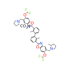 Cc1c(-c2nc3cc(CN4CCCC4C)c(OC(F)F)cc3o2)cccc1-c1cccc(-c2nc3cc(CN4CCC[C@H]4C(=O)O)c(OC(F)F)cc3o2)c1C